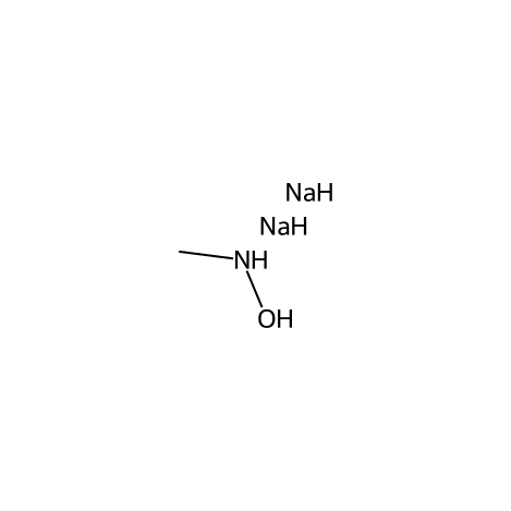 CNO.[NaH].[NaH]